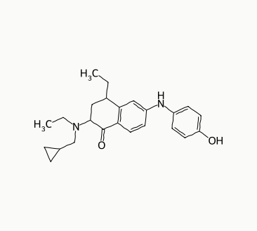 CCC1CC(N(CC)CC2CC2)C(=O)c2ccc(Nc3ccc(O)cc3)cc21